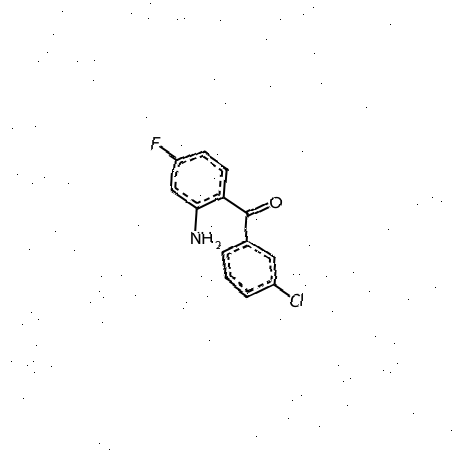 Nc1cc(F)ccc1C(=O)c1cccc(Cl)c1